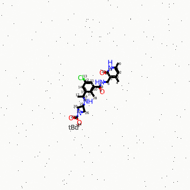 Cc1cc(C)c(CNC(=O)c2cc(Cl)cc(C(C)NC3CN(C(=O)OC(C)(C)C)C3)c2C)c(=O)[nH]1